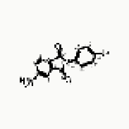 Nc1ccc2c(c1)C(=O)N(c1ccc(I)cc1)C2=O